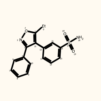 CCc1onc(-c2ccccc2)c1-c1cccc(S(N)(=O)=O)c1